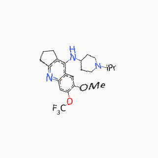 COc1cc2c(NC3CCN(C(C)C)CC3)c3c(nc2cc1OC(F)(F)F)CCC3